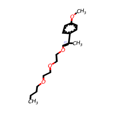 CCCCOCCOCCO/C=C(\C)c1ccc(OC)cc1